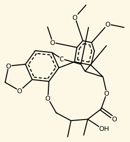 COc1cc2c(c(OC)c1OC)-c1c3cc4c(c1OCC(C)C(C)(O)C(=O)OC2C(C)C(C)C3)OCO4